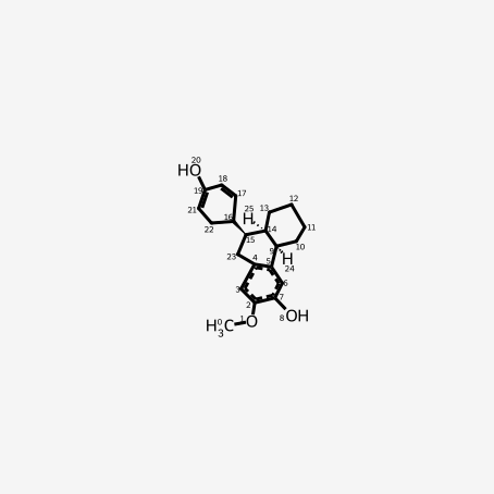 COc1cc2c(cc1O)[C@@H]1CCCC[C@@H]1[C@H](C1C=CC(O)=CC1)C2